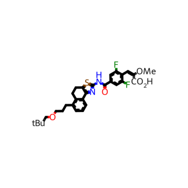 COC(=Cc1c(F)cc(C(=O)Nc2nc3c(s2)CCc2c(CCCOCC(C)(C)C)cccc2-3)cc1F)C(=O)O